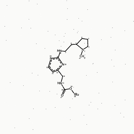 CN1CCCC1CCNc1nccc(CNC(=O)OC(C)(C)C)n1